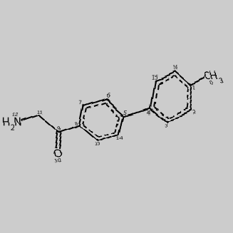 Cc1ccc(-c2ccc(C(=O)CN)cc2)cc1